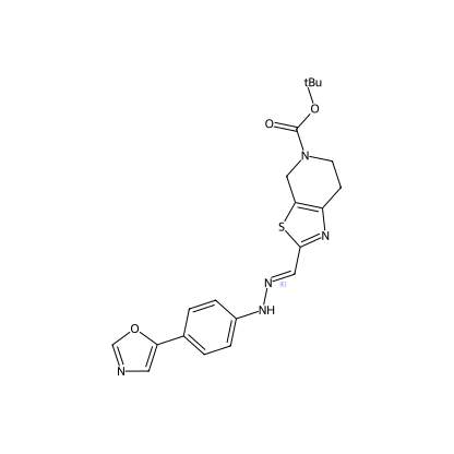 CC(C)(C)OC(=O)N1CCc2nc(/C=N/Nc3ccc(-c4cnco4)cc3)sc2C1